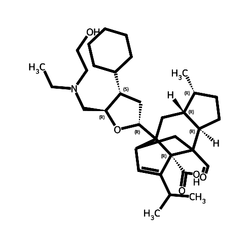 CCN(CCO)C[C@@H]1O[C@@H](C23C[C@@H]4[C@H](C)CC[C@H]4C4(C=O)CC2C=C(C(C)C)[C@]43C(=O)O)C[C@H]1C1CCCCC1